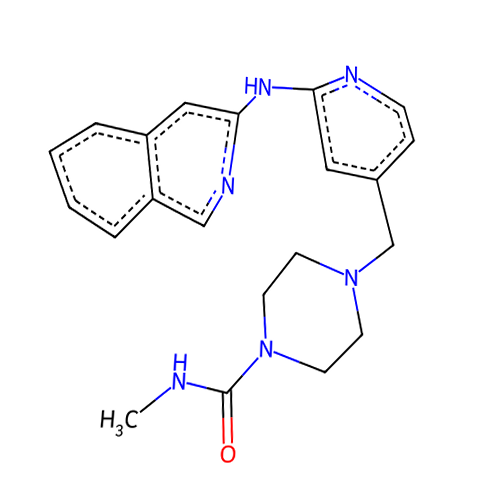 CNC(=O)N1CCN(Cc2ccnc(Nc3cc4ccccc4cn3)c2)CC1